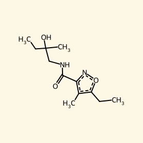 CCc1onc(C(=O)NCC(C)(O)CC)c1C